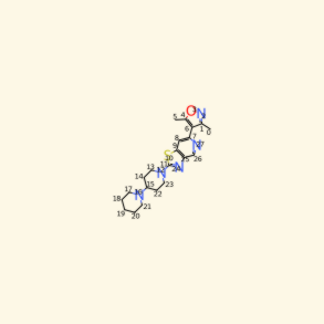 Cc1noc(C)c1-c1cc2sc(N3CCC(N4CCCCC4)CC3)nc2cn1